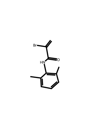 C=C(Br)C(=O)Nc1c(C)cccc1C